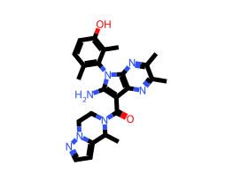 Cc1ccc(O)c(C)c1-n1c(N)c(C(=O)N2CCn3nccc3C2C)c2nc(C)c(C)nc21